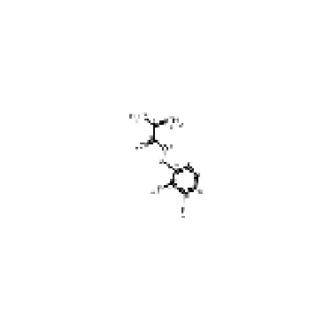 C=C(C)C(=O)OCc1cccc(F)c1F